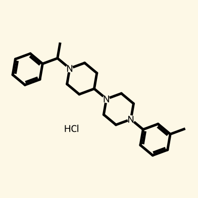 Cc1cccc(N2CCN(C3CCN(C(C)c4ccccc4)CC3)CC2)c1.Cl